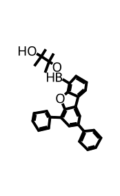 CC(C)(O)C(C)(C)OBc1cccc2c1oc1c(-c3ccccc3)cc(-c3ccccc3)cc12